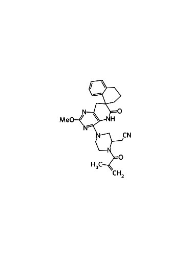 C=C(C)C(=O)N1CCN(c2nc(OC)nc3c2NC(=O)C2(CCCc4ccccc42)C3)CC1CC#N